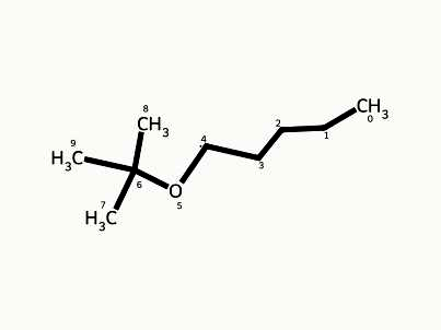 CCCC[CH]OC(C)(C)C